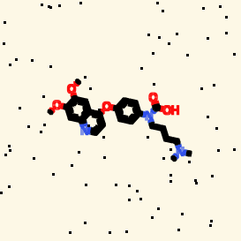 COc1cc2nccc(Oc3ccc(N(CCCCN(C)C)C(=O)O)cc3)c2cc1OC